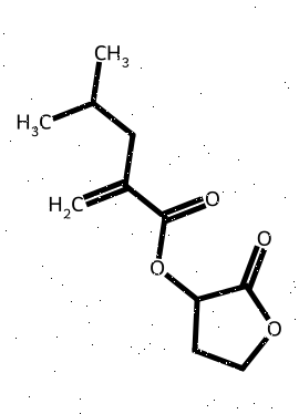 C=C(CC(C)C)C(=O)OC1CCOC1=O